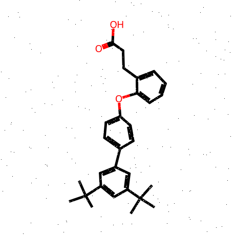 CC(C)(C)c1cc(-c2ccc(Oc3ccccc3CCC(=O)O)cc2)cc(C(C)(C)C)c1